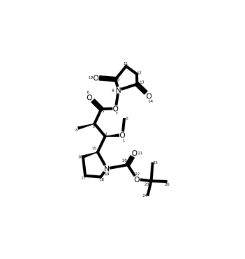 CO[C@H]([C@@H](C)C(=O)ON1C(=O)CCC1=O)[C@@H]1CCCN1C(=O)OC(C)(C)C